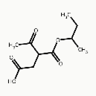 CCC(C)OC(=O)C(CC(=O)O)C(C)=O